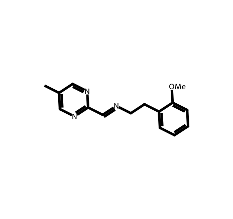 COc1ccccc1CCN=Cc1ncc(C)cn1